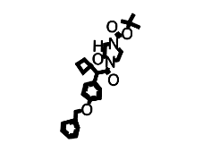 CC(C)(C)OC(=O)N1CCN(C(=O)C(c2ccc(OCc3ccccc3)cc2)C2(O)CCC2)CC1